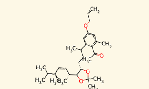 C=CCOc1cc(C)c(C(C)=O)c(C(C)CC[C@@H]2OC(C)(C)OC2[C@H](C)/C=C\[C@@H](C)C(C)C)c1